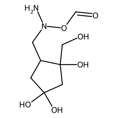 NN(CC1CC(O)(O)CC1(O)CO)OC=O